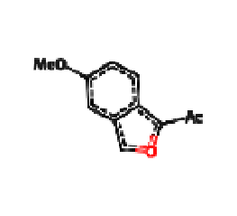 COc1ccc2c(C(C)=O)occ2c1